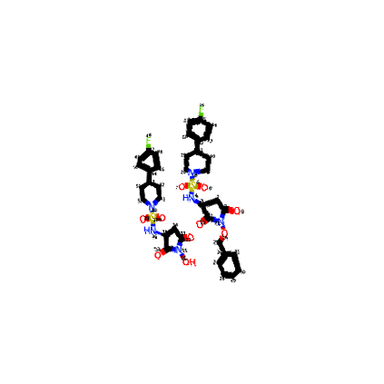 O=C1CC(NS(=O)(=O)N2CCC(c3ccc(F)cc3)CC2)C(=O)N1OCc1ccccc1.O=C1C[C@H](NS(=O)(=O)N2CCC(c3ccc(F)cc3)CC2)C(=O)N1O